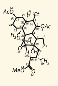 CC[C@H]1[C@@H](OC(C)=O)C2C3CC[C@H]([C@H](C)CC(=O)OC)[C@@]3(C)[C@@H]3O[C@@H]3C2[C@@]2(C)CC[C@@H](OC(C)=O)C[C@@H]12